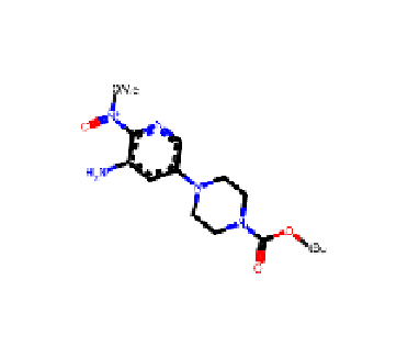 CO[N+](=O)c1ncc(N2CCN(C(=O)OC(C)(C)C)CC2)cc1N